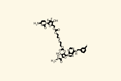 CNC(=O)[C@H]1OC(n2cnc3c(NCc4cccc(I)c4)ncnc32)[C@H](OC(=O)OCCSSCCOC(=O)OCC2OC(n3ccc(N)nc3=O)C(F)(F)C2O)[C@@H]1O